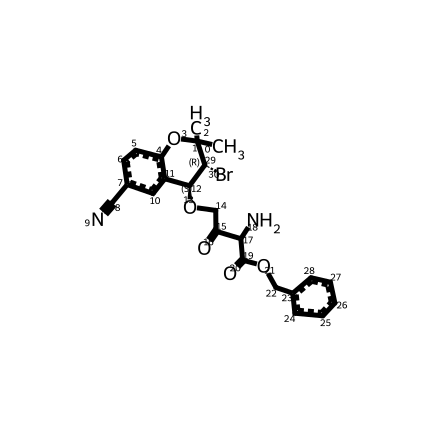 CC1(C)Oc2ccc(C#N)cc2[C@H](OCC(=O)C(N)C(=O)OCc2ccccc2)[C@H]1Br